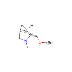 CN1CC2C[C@H]2[C@H]1COC(C)(C)C